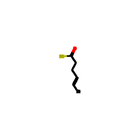 CCC=CCCC(=O)S